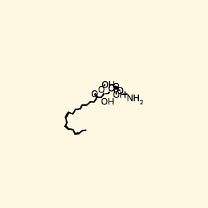 CC/C=C\C/C=C\C/C=C\CCCCCCCC(=O)C(O)[C@H](COP(=O)(O)OCCN)OO